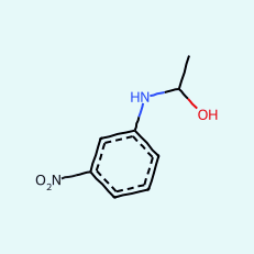 CC(O)Nc1cccc([N+](=O)[O-])c1